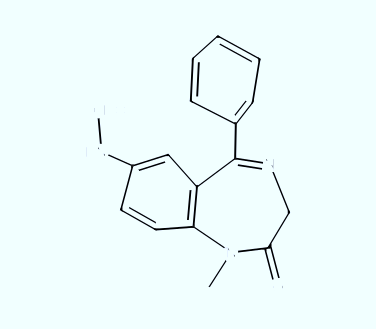 CN1C(=O)CN=C(c2ccccc2)c2cc(NC=O)ccc21